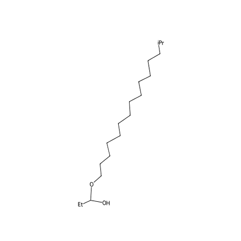 CCC(O)OCCCCCCCCCCCCCC(C)C